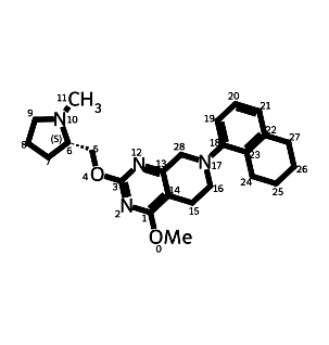 COc1nc(OC[C@@H]2CCCN2C)nc2c1CCN(c1cccc3c1CCCC3)C2